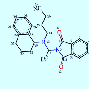 CCC(N1C(=O)c2ccccc2C1=O)N(CCCC#N)C1CCCc2ccccc21